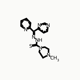 CN1CCN(C(=S)N/N=C(/c2ccccn2)c2ccncn2)CC1